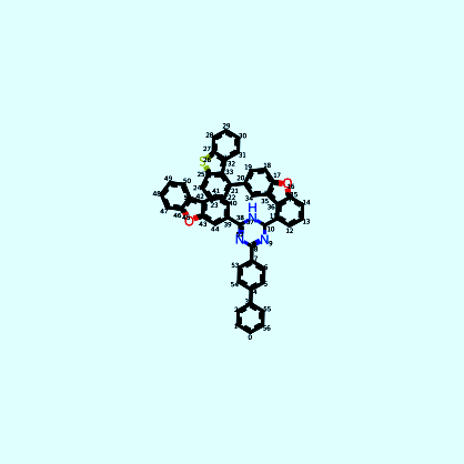 c1ccc(-c2ccc(C3=NC(c4cccc5oc6ccc(-c7cccc8sc9ccccc9c78)cc6c45)NC(c4ccc5c(c4)oc4ccccc45)=N3)cc2)cc1